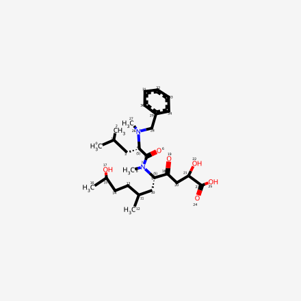 CC(C)C[C@@H](C(=O)N(C)[C@@H](CC(C)CCC(C)O)C(=O)CC(O)C(=O)O)N(C)Cc1ccccc1